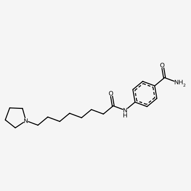 NC(=O)c1ccc(NC(=O)CCCCCCCN2CCCC2)cc1